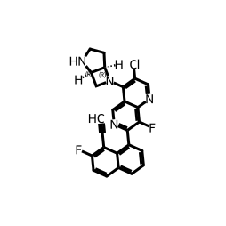 C#Cc1c(F)ccc2cccc(-c3ncc4c(N5C[C@H]6NCC[C@H]65)c(Cl)cnc4c3F)c12